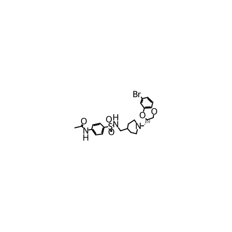 CC(=O)Nc1ccc(S(=O)(=O)NCC2CCN(C[C@H]3COc4ccc(Br)cc4O3)CC2)cc1